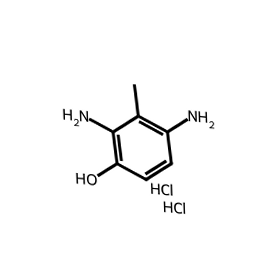 Cc1c(N)ccc(O)c1N.Cl.Cl